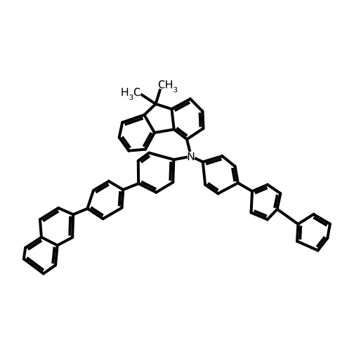 CC1(C)c2ccccc2-c2c(N(c3ccc(-c4ccc(-c5ccccc5)cc4)cc3)c3ccc(-c4ccc(-c5ccc6ccccc6c5)cc4)cc3)cccc21